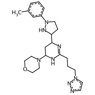 Cc1cccc(N2CCC(C3CC(N4CCOCC4)NC(CCCn4ccnn4)=N3)N2)c1